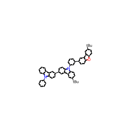 CC(C)(C)c1ccc2oc3ccc(-c4cccc(-n5c6ccc(-c7ccc8c(c7)c7ccccc7n8-c7ccccc7)cc6c6cc(C(C)(C)C)ccc65)c4)cc3c2c1